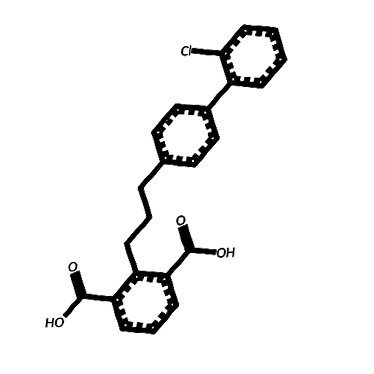 O=C(O)c1cccc(C(=O)O)c1CCCc1ccc(-c2ccccc2Cl)cc1